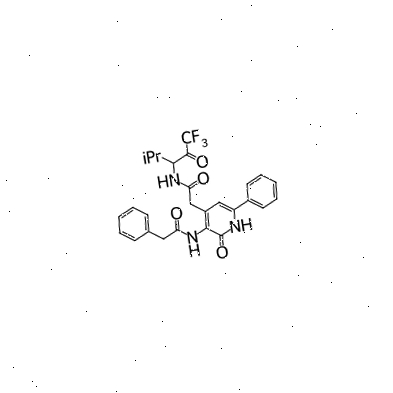 CC(C)C(NC(=O)Cc1cc(-c2ccccc2)[nH]c(=O)c1NC(=O)Cc1ccccc1)C(=O)C(F)(F)F